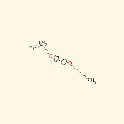 CCCCCCCCCCOc1ccc(-c2ccc(OCCCCC[C@@H](C)CC)c(F)c2)cc1